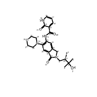 CC(C)(O)[C@H](F)CN1Cc2cc(NC(=O)c3ccc[nH]c3=O)c(N3CCOCC3)cc2C1=O